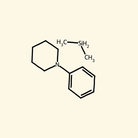 C[SiH2]C.c1ccc(N2CCCCC2)cc1